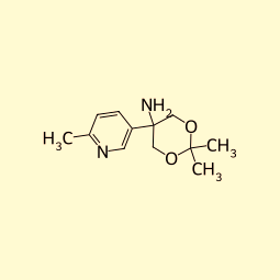 Cc1ccc(C2(N)COC(C)(C)OC2)cn1